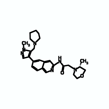 C[C@@H]1COCCN1CC(=O)Nc1cc2cc(-c3cnn(C)c3CN3CCCCC3)ccc2cn1